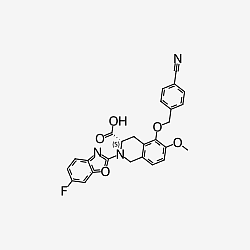 COc1ccc2c(c1OCc1ccc(C#N)cc1)C[C@@H](C(=O)O)N(c1nc3ccc(F)cc3o1)C2